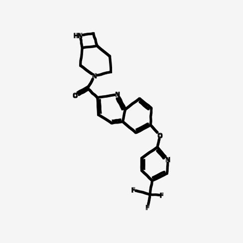 O=C(c1ccc2cc(Oc3ccc(C(F)(F)F)cn3)ccc2n1)N1CCC2CNC2C1